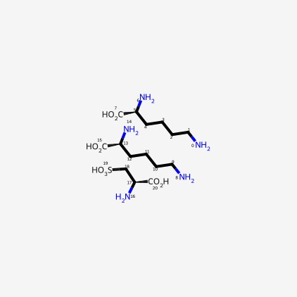 NCCCC[C@H](N)C(=O)O.NCCCC[C@H](N)C(=O)O.N[C@@H](CS(=O)(=O)O)C(=O)O